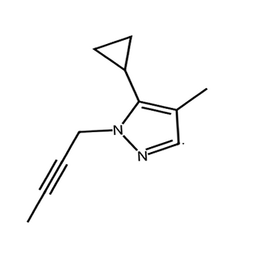 CC#CCn1n[c]c(C)c1C1CC1